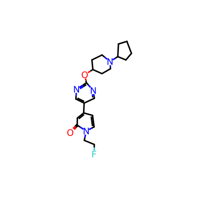 O=c1cc(-c2cnc(OC3CCN(C4CCCC4)CC3)nc2)ccn1CCF